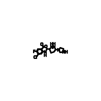 O=C1OC(C2CCC(N3CCNC3)NN2)Nc2cc(Cl)c(F)cc21